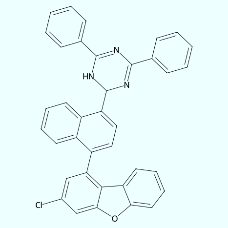 Clc1cc(-c2ccc(C3N=C(c4ccccc4)N=C(c4ccccc4)N3)c3ccccc23)c2c(c1)oc1ccccc12